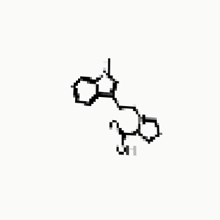 O=C(O)C1CCCN1CCc1c[nH]c2ccccc12